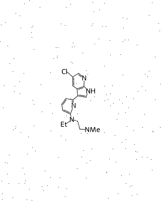 CCN(CCNC)c1cccc(-c2c[nH]c3ncc(Cl)cc23)n1